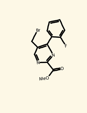 COC(=O)c1ncc(CBr)c(-c2ccccc2F)n1